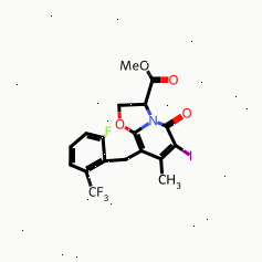 COC(=O)C1COc2c(Cc3c(F)cccc3C(F)(F)F)c(C)c(I)c(=O)n21